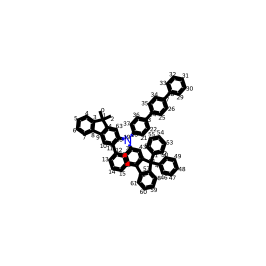 CC1(C)c2ccccc2-c2cc(-c3ccccc3)c(N(c3ccc(-c4ccc(-c5ccccc5)cc4)cc3)c3ccc4c(c3)C(c3ccccc3)(c3ccccc3)c3ccccc3-4)cc21